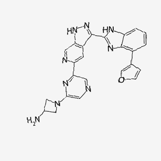 NC1CN(c2cncc(-c3cc4c(-c5nc6c(-c7ccoc7)cccc6[nH]5)n[nH]c4cn3)n2)C1